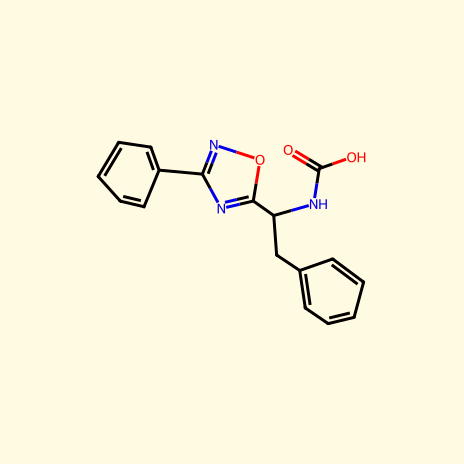 O=C(O)NC(Cc1ccccc1)c1nc(-c2ccccc2)no1